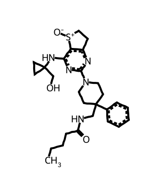 CCCCC(=O)NCC1(c2ccccc2)CCN(c2nc3c(c(NC4(CO)CC4)n2)[S+]([O-])CC3)CC1